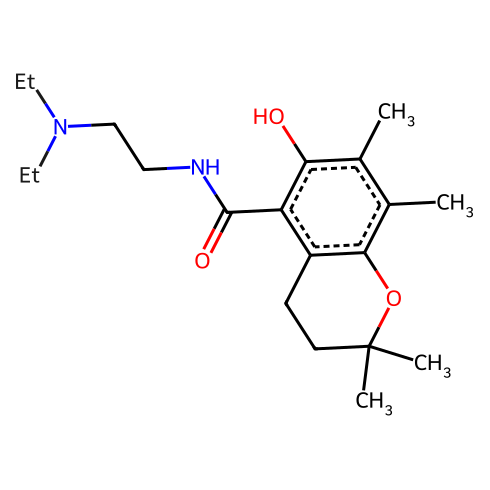 CCN(CC)CCNC(=O)c1c(O)c(C)c(C)c2c1CCC(C)(C)O2